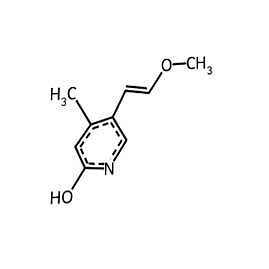 COC=Cc1cnc(O)cc1C